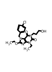 CCOc1nc2c(c(=O)n(CCCO)c(=O)n2CC)n1Cc1ccc(Cl)cc1